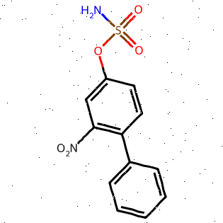 NS(=O)(=O)Oc1ccc(-c2ccccc2)c([N+](=O)[O-])c1